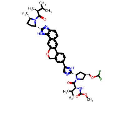 COC(=O)N[C@H](C(=O)N1C[C@@H](COC(F)F)C[C@H]1c1ncc(-c2ccc3c(c2)COc2cc4c(ccc5nc([C@@H]6CC[C@H](C)N6C(=O)[C@@H](C)C(C)C)[nH]c54)cc2-3)[nH]1)C(C)C